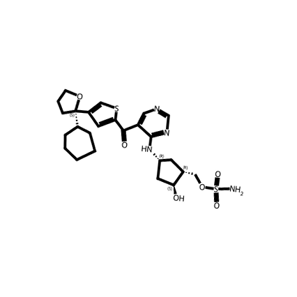 NS(=O)(=O)OC[C@H]1C[C@@H](Nc2ncncc2C(=O)c2cc([C@@]3(C4CCCCC4)CCCO3)cs2)C[C@@H]1O